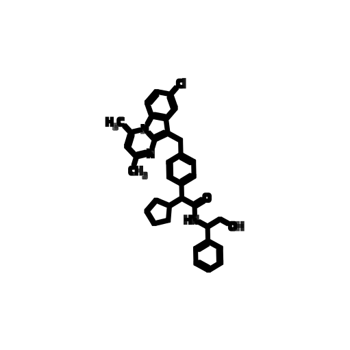 Cc1cc(C)n2c(n1)c(Cc1ccc(C(C(=O)NC(CO)c3ccccc3)C3CCCC3)cc1)c1cc(Cl)ccc12